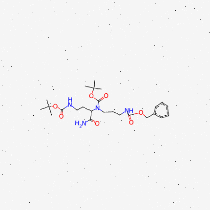 CC(C)(C)OC(=O)NCCC(C(N)=O)N(CCCNC(=O)OCc1ccccc1)C(=O)OC(C)(C)C